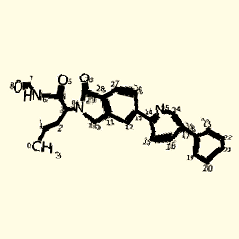 CCCC(C(=O)NC=O)N1Cc2cc(-c3ccc(-c4ccccc4)cn3)ccc2C1=O